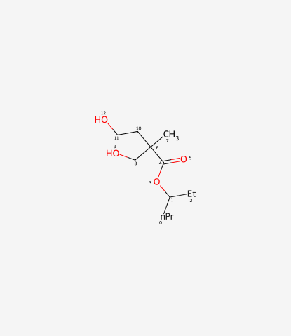 CCCC(CC)OC(=O)C(C)(CO)CCO